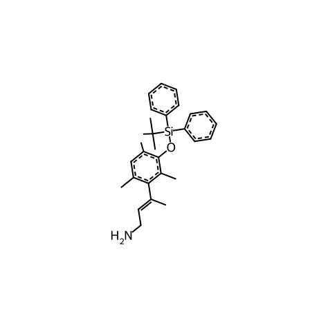 CC(=CCN)c1c(C)cc(C)c(O[Si](c2ccccc2)(c2ccccc2)C(C)(C)C)c1C